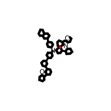 c1cc(-c2ccc(N(c3ccc(-c4ccc5ccccc5c4)cc3)c3ccc(-c4ccccc4-n4c5ccccc5c5ccccc54)cc3)cc2)cc(-c2cccc3c2oc2ccccc23)c1